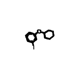 Ic1cccc(OC2CCCCC2)c1